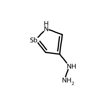 NNC1=C[NH][Sb]=[CH]1